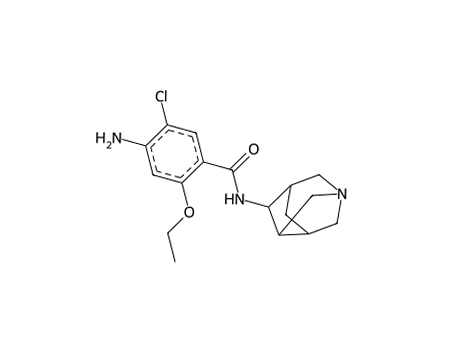 CCOc1cc(N)c(Cl)cc1C(=O)NC1C2CC3CN(C2)CC31